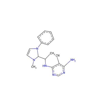 CC(Nc1ncnc(N)c1C#N)C1N(C)C=CN1c1ccccc1